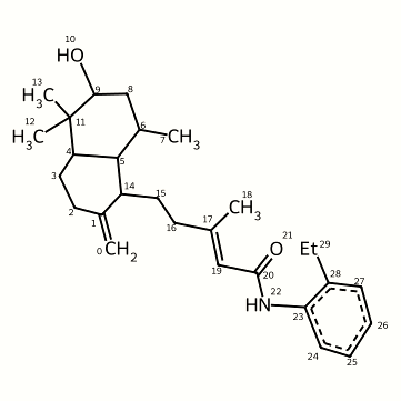 C=C1CCC2C(C(C)CC(O)C2(C)C)C1CC/C(C)=C/C(=O)Nc1ccccc1CC